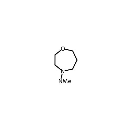 CNN1CCCOCC1